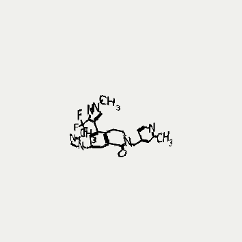 Cc1cc(CN2CCc3c(cc(Cn4ccnc4C)cc3-c3cn(C)nc3C(F)(F)F)C2=O)ccn1